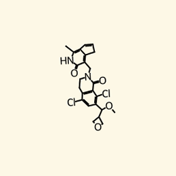 COC(c1cc(Cl)c2c(c1Cl)C(=O)N(Cc1c3c(c(C)[nH]c1=O)C=CC3)CC2)C1COC1